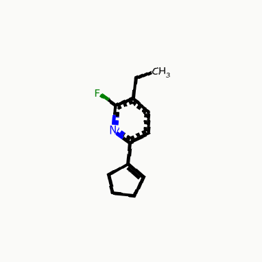 CCc1ccc(C2=CCCC2)nc1F